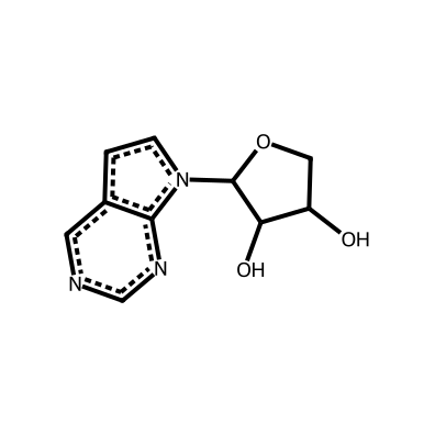 OC1COC(n2ccc3cncnc32)C1O